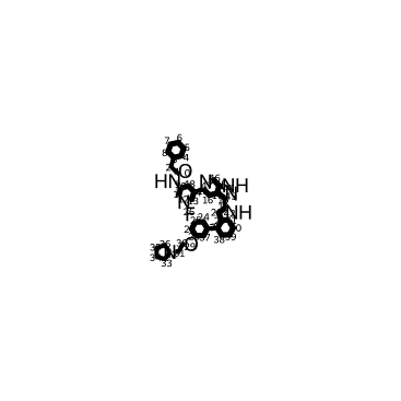 O=C(Cc1ccccc1)Nc1cncc(-c2cc3c(-c4cc5c(-c6cc(F)cc(OCCN7CCCC7)c6)cccc5[nH]4)n[nH]c3cn2)c1